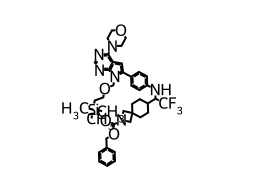 C[Si](C)(C)CCOCn1c(-c2ccc(NC(C3CCC4(CC3)CN(C(=O)OCc3ccccc3)C4)C(F)(F)F)cc2)cc2c(N3CCOCC3)ncnc21